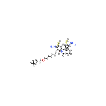 C=C(CCOCCCCCCCCCN1C(=C)c2ccccc2C12c1ccc(N)c(SC)c1Cc1c2ccc(N)c1SC)CC(C)(C)C